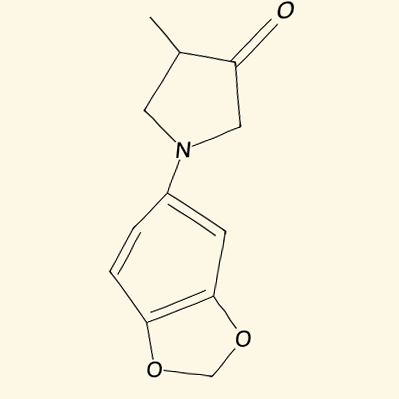 CC1CN(c2ccc3c(c2)OCO3)CC1=O